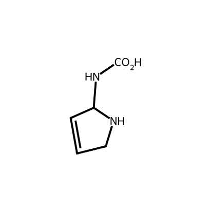 O=C(O)NC1C=CCN1